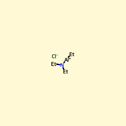 C[CH2][Al+][N](CC)CC.[Cl-]